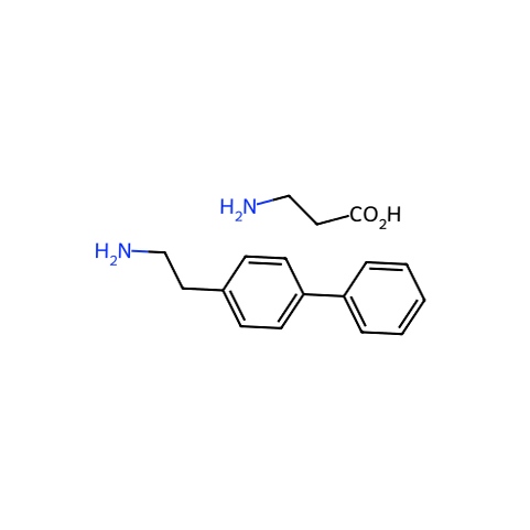 NCCC(=O)O.NCCc1ccc(-c2ccccc2)cc1